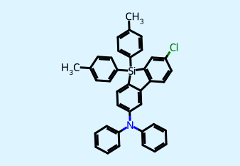 Cc1ccc([Si]2(c3ccc(C)cc3)c3ccc(N(c4ccccc4)c4ccccc4)cc3-c3ccc(Cl)cc32)cc1